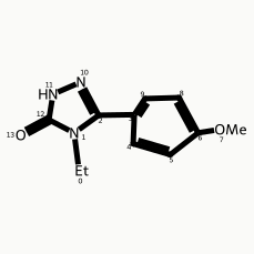 CCn1c(-c2ccc(OC)cc2)n[nH]c1=O